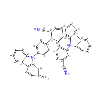 CC1C=Cc2c(n(-c3ccc(C4C(c5ccc(C#N)cc5-n5c6ccccc6c6ccccc65)=CC=CC4C#N)cc3)c3ccccc23)C1